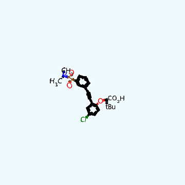 CN(C)S(=O)(=O)c1cccc(C#Cc2cc(Cl)ccc2OC(C(=O)O)C(C)(C)C)c1